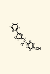 [O-][S+](CC1COC(c2ccccc2)=N1)c1ccc(O)cc1